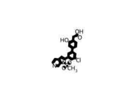 CS(=O)(=O)n1c(-c2cc(Cl)cc(-c3ccc(CC(=O)O)c(O)c3)c2)cc2ccncc21